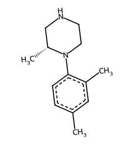 Cc1ccc(N2CCNC[C@H]2C)c(C)c1